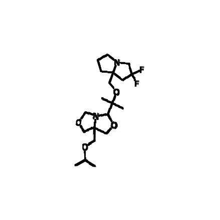 CC(C)OCC12COCN1C(C(C)(C)OCC13CCCN1CC(F)(F)C3)OC2